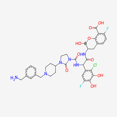 NCc1cccc(CN2CCC(N3CCN(C(=O)NC(C(=O)NC4Cc5ccc(F)c(C(=O)O)c5OB4O)c4cc(F)c(O)c(O)c4Cl)C3=O)CC2)c1